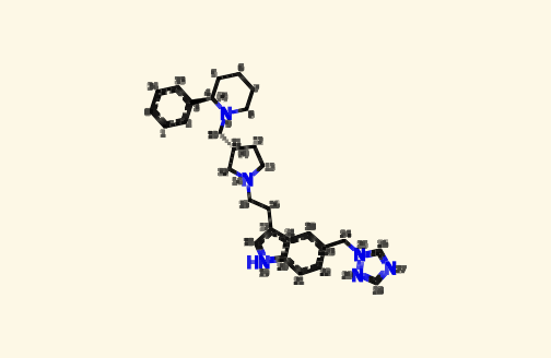 c1ccc([C@H]2CCCCN2C[C@@H]2CCN(CCc3c[nH]c4ccc(Cn5cncn5)cc34)C2)cc1